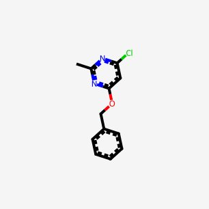 Cc1nc(Cl)cc(OCc2ccccc2)n1